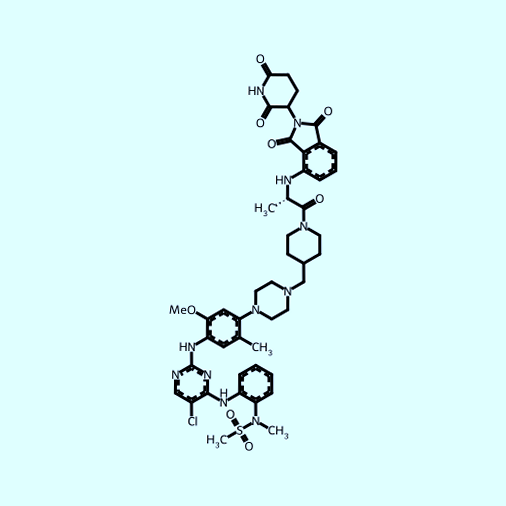 COc1cc(N2CCN(CC3CCN(C(=O)[C@H](C)Nc4cccc5c4C(=O)N(C4CCC(=O)NC4=O)C5=O)CC3)CC2)c(C)cc1Nc1ncc(Cl)c(Nc2ccccc2N(C)S(C)(=O)=O)n1